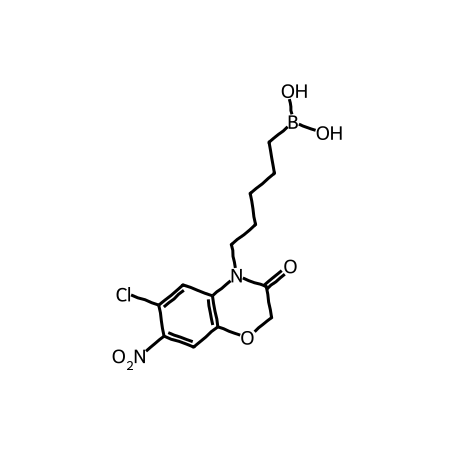 O=C1COc2cc([N+](=O)[O-])c(Cl)cc2N1CCCCCB(O)O